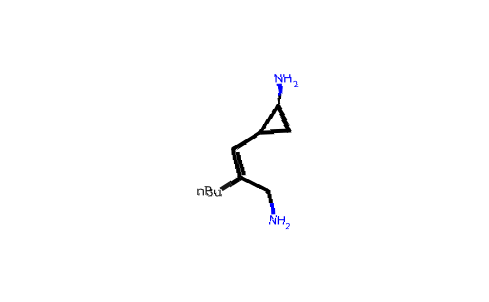 CCCC/C(=C/C1C[C@@H]1N)CN